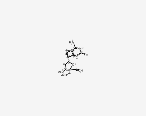 C#C[C@]1(COC(C)=O)O[C@@H](n2cnc3c(N)nc(F)nc32)C[C@@H]1OC(C)=O